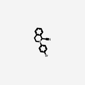 N#CC1c2ccccc2CCN1c1ccc(Br)cc1